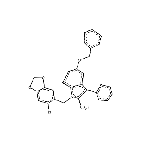 O=C(O)c1c(-c2ccccc2)c2cc(OCc3ccccc3)ccc2n1Cc1cc2c(cc1Cl)OCO2